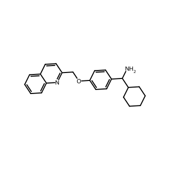 NC(c1ccc(OCc2ccc3ccccc3n2)cc1)C1CCCCC1